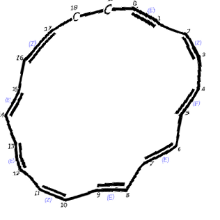 [C]1=C/C=C\C=C\C=C\C=C\C=C/C=C/C=C/C=C\CC/1